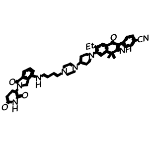 CCc1cc2c(cc1N1CCC(N3CCN(CCCCNc4cccc5c4CN(C4CCC(=O)NC4=O)C5=O)CC3)CC1)C(C)(C)c1[nH]c3cc(C#N)ccc3c1C2=O